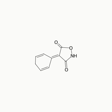 O=C1NOC(=O)C1=C1C=CCC=C1